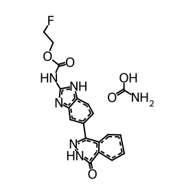 NC(=O)O.O=C(Nc1nc2cc(-c3n[nH]c(=O)c4ccccc34)ccc2[nH]1)OCCF